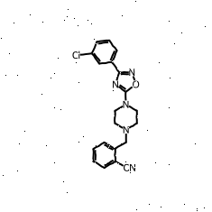 N#Cc1ccccc1CN1CCN(c2nc(-c3cccc(Cl)c3)no2)CC1